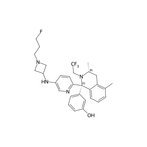 Cc1cccc2c1C[C@@H](C)N(CC(F)(F)F)[C@]2(c1cccc(O)c1)c1ccc(NC2CN(CCCF)C2)cn1